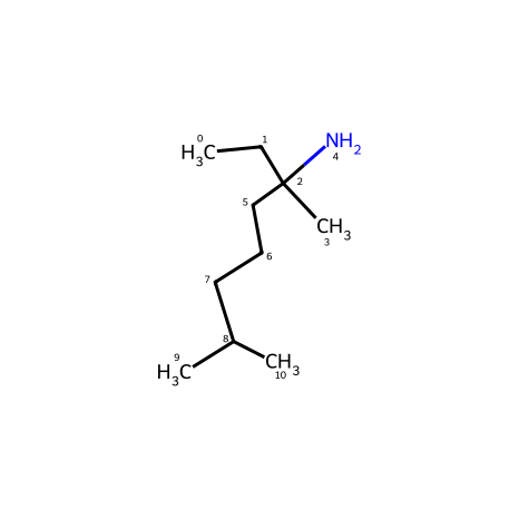 CCC(C)(N)CCCC(C)C